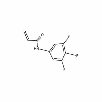 C=CC(=O)Nc1cc(F)c(F)c(F)c1